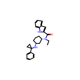 CCN(C(=O)c1cc2ccccc2[nH]1)[C@H]1CCC[C@H](NC2(c3ccccc3)CC2)C1